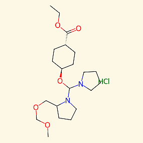 CCOC(=O)[C@H]1CC[C@H](OC(N2CCCC2)N2CCCC2COCOC)CC1.Cl